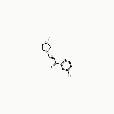 O=C(/C=C/N1CC[C@H](F)C1)c1cc(Cl)ccn1